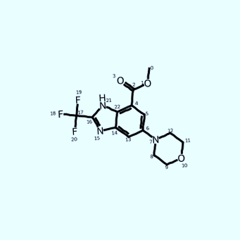 COC(=O)c1cc(N2CCOCC2)cc2nc(C(F)(F)F)[nH]c12